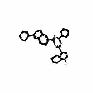 Clc1ccc(-c2nc(-c3ccccc3)nc(-c3ccc4cc(-c5ccccc5)ccc4c3)n2)c2ccccc12